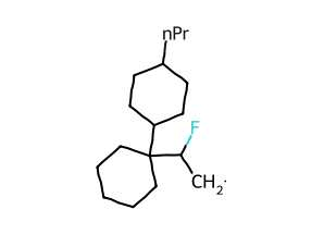 [CH2]C(F)C1(C2CCC(CCC)CC2)CCCCC1